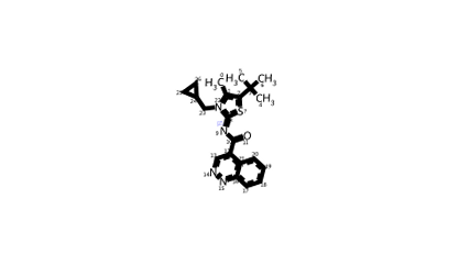 Cc1c(C(C)(C)C)s/c(=N\C(=O)c2cnnc3ccccc23)n1CC1CC1